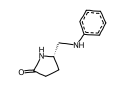 O=C1CC[C@@H](CNc2ccccc2)N1